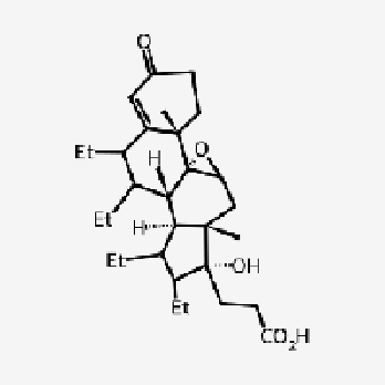 CCC1C2=CC(=O)CC[C@]2(C)[C@@]23OC2C[C@@]2(C)[C@@H](C(CC)C(CC)[C@]2(O)CCC(=O)O)[C@@H]3C1CC